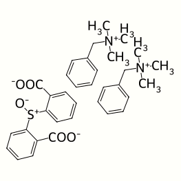 C[N+](C)(C)Cc1ccccc1.C[N+](C)(C)Cc1ccccc1.O=C([O-])c1ccccc1[S+]([O-])c1ccccc1C(=O)[O-]